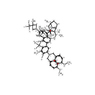 COc1ccc(CN(Cc2ccc(OC)cc2)c2cc(-c3nc4c5c(nc(N6CC(O)(C(F)(F)F)C6)nc5c3F)N3C[C@H]5CC[C@@H]([C@H]3[C@H](C)O4)N5C(=O)OC(C)(C)C)c(C(F)(F)F)c(C)c2F)cc1